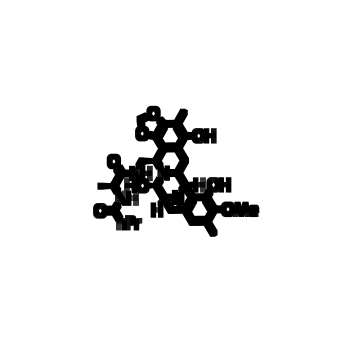 CCCC(=O)N[C@@H](C)C(=O)NC[C@H]1c2c(c(O)c(C)c3c2OCO3)CC2[C@@H]3c4c(cc(C)c(OC)c4O)C[C@@H]([C@H](O)N21)N3C